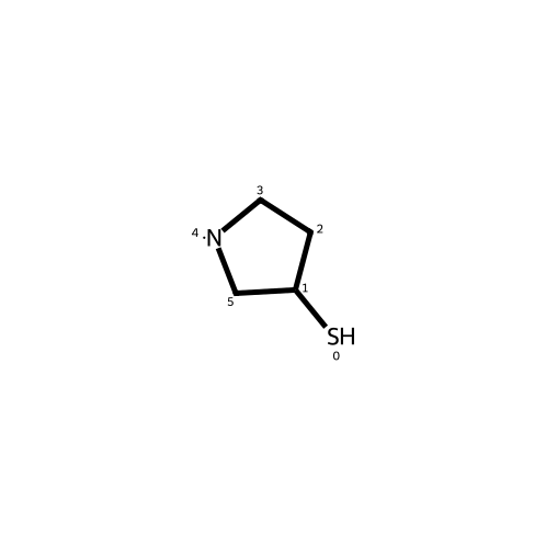 SC1CC[N]C1